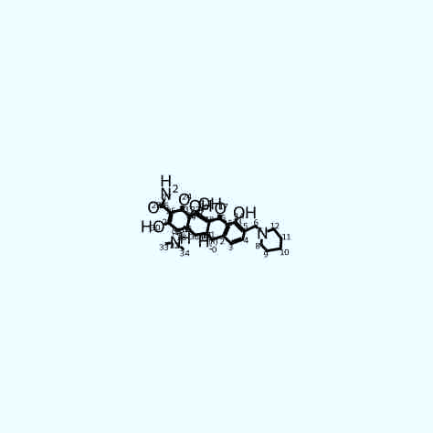 C[C@H]1c2ccc(CN3CCCCC3)c(O)c2C(=O)C2=C(O)[C@]3(O)C(=O)C(C(N)=O)=C(O)[C@@H](N(C)C)[C@@H]3C[C@@H]21